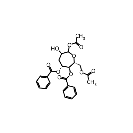 CC(=O)OC[C@H]1OC(OC(C)=O)[C@H](O)C[C@@H](OC(=O)c2ccccc2)[C@@H]1OC(=O)c1ccccc1